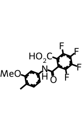 COc1cc(NC(=O)c2c(F)c(F)c(F)c(F)c2C(=O)O)ccc1C